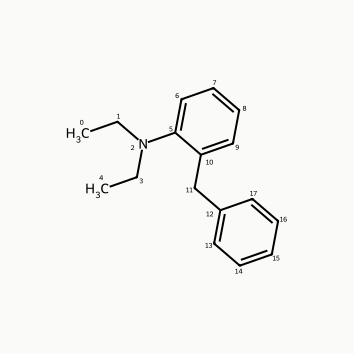 CCN(CC)c1ccccc1Cc1ccccc1